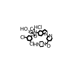 Cl.O=C(O)CN(c1ccc2c(ccn2-c2cc(C(=O)N3CCNCC3)ccn2)c1)S(=O)(=O)c1cc(Cl)cc(Cl)c1